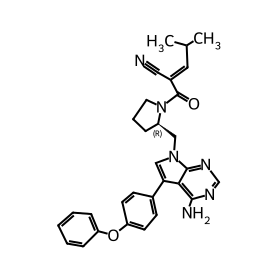 CC(C)C=C(C#N)C(=O)N1CCC[C@@H]1Cn1cc(-c2ccc(Oc3ccccc3)cc2)c2c(N)ncnc21